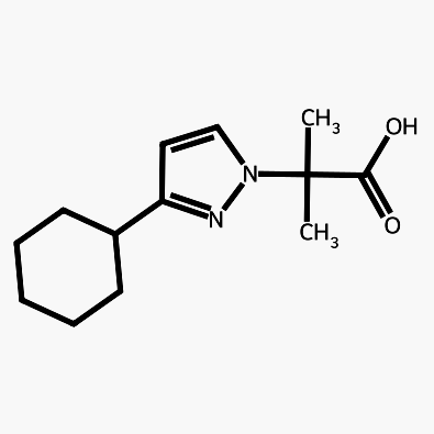 CC(C)(C(=O)O)n1ccc(C2CCCCC2)n1